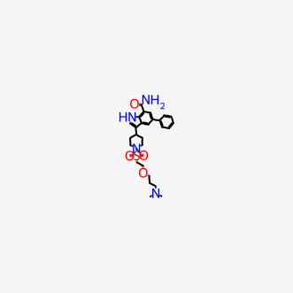 CN(C)CCCOCCS(=O)(=O)N1CCC(c2c[nH]c3c(C(N)=O)cc(-c4ccccc4)cc23)CC1